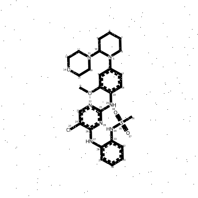 COc1cc(N2CCCCC2N2CCOCC2)ccc1Nc1ncc(Cl)c(Nc2ccccc2NS(C)(=O)=O)n1